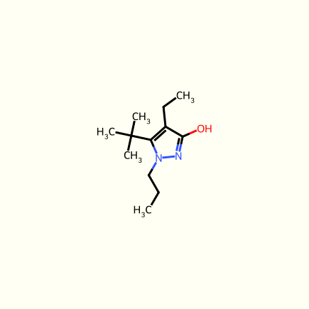 CCCn1nc(O)c(CC)c1C(C)(C)C